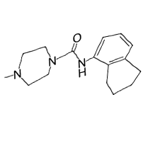 CN1CCN(C(=O)Nc2cccc3c2CCCC3)CC1